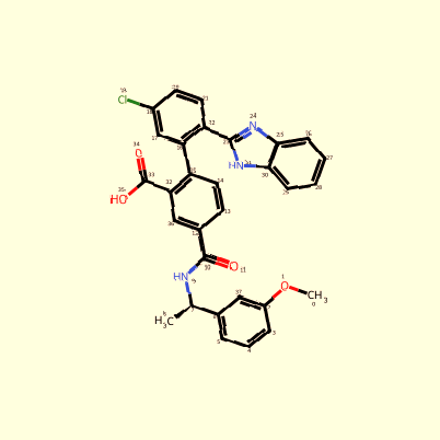 COc1cccc([C@@H](C)NC(=O)c2ccc(-c3cc(Cl)ccc3-c3nc4ccccc4[nH]3)c(C(=O)O)c2)c1